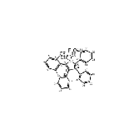 CC[Si]1(CC)C(c2ccccc2C(F)(F)F)=C(c2ccccc2)C(c2ccccc2)=C1c1ccccc1C(F)(F)F